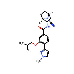 CC(C)COc1cc(C(=O)N[C@@H]2C[C@@H]3CC[C@H]2N3C#N)ccc1-c1ccn(C)n1